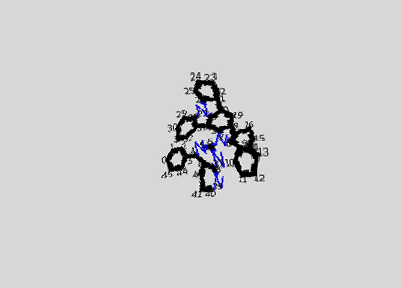 c1ccc(-c2nc(-n3c4c5ccccc5ccc4c4cc5c6ccccc6n6c7ccccc7c(c43)c56)nc3ncccc23)cc1